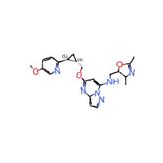 COc1ccc([C@H]2C[C@@H]2COc2cc(NCC3OC(C)=NC3C)n3nccc3n2)nc1